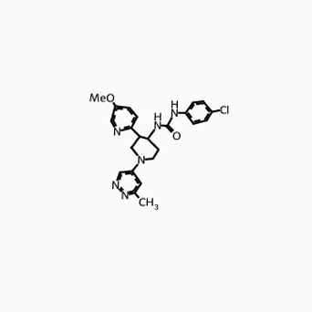 COc1ccc(C2CN(c3cnnc(C)c3)CCC2NC(=O)Nc2ccc(Cl)cc2)nc1